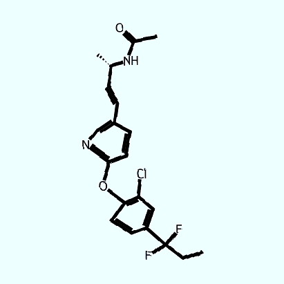 CCC(F)(F)c1ccc(Oc2ccc(/C=C/[C@H](C)NC(C)=O)cn2)c(Cl)c1